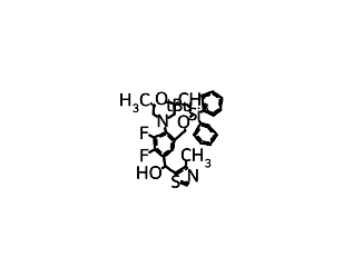 Cc1ncsc1C(O)c1cc(CO[Si](c2ccccc2)(c2ccccc2)C(C)(C)C)c(N2C[C@@H](C)O[C@@H](C)C2)c(F)c1F